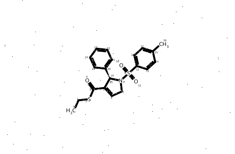 CCSC(=O)C1=CCN(S(=O)(=O)c2ccc(C)cc2)[C@@H]1c1ccccc1